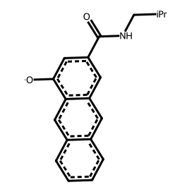 CC(C)CNC(=O)c1cc([O])c2cc3ccccc3cc2c1